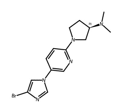 CN(C)[C@@H]1CCN(c2ccc(-n3cnc(Br)c3)cn2)C1